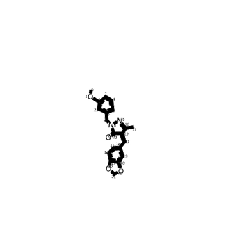 COc1cccc(CN2N=C(C)/C(=C/c3ccc4c(c3)OCO4)C2=O)c1